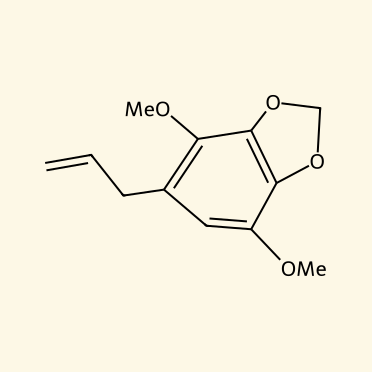 C=CCc1cc(OC)c2c(c1OC)OCO2